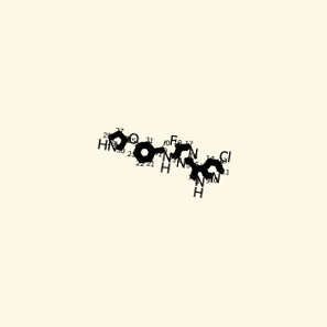 C[C@H](Nc1nc(-c2c[nH]c3ncc(Cl)cc23)ncc1F)c1cccc(O[C@H]2CCNC2)c1